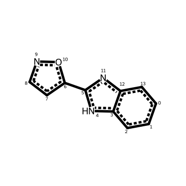 c1ccc2[nH]c(-c3ccno3)nc2c1